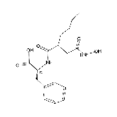 CCCCC(CC(=O)NO)C(=O)N[C@@H](Cc1ccccc1)C(=O)O